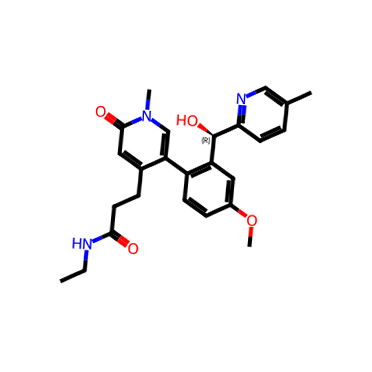 CCNC(=O)CCc1cc(=O)n(C)cc1-c1ccc(OC)cc1[C@@H](O)c1ccc(C)cn1